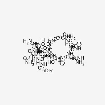 CCCCCCCCCCCC(=O)NCC(=O)N[C@@H](CO)C(=O)N[C@H](CCC(N)=O)C(=O)N[C@@H](CC(N)CN)C(=O)N[C@H](C(=O)N[C@@H](CCCC)C(=O)N[C@H]1CCC(=O)CNCCCC[C@@H](C(N)=O)NC(=O)[C@H](Cc2c[nH]c3ccccc23)NC(=O)[C@H](CCCNC(=N)N)NC(=O)[C@@H](Cc2ccccc2)NC(=O)[C@@H]2C[C@@H](O)CN2C1=O)C(C)O